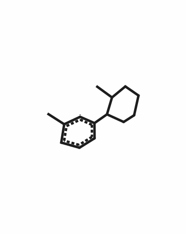 Cc1[c]c(C2CCCCC2C)ccc1